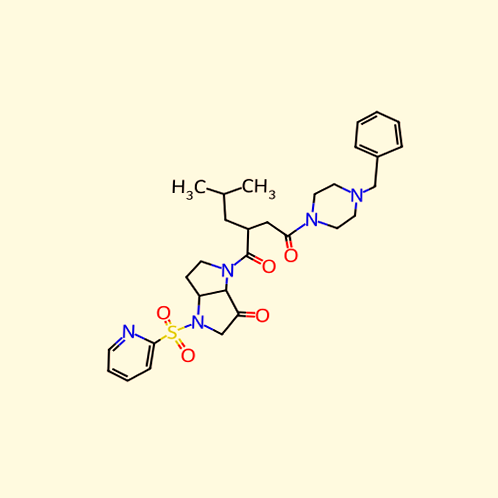 CC(C)CC(CC(=O)N1CCN(Cc2ccccc2)CC1)C(=O)N1CCC2C1C(=O)CN2S(=O)(=O)c1ccccn1